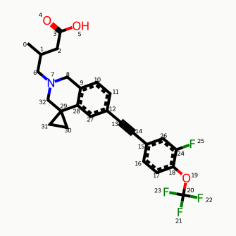 CC(CC(=O)O)CN1Cc2ccc(C#Cc3ccc(OC(F)(F)F)c(F)c3)cc2C2(CC2)C1